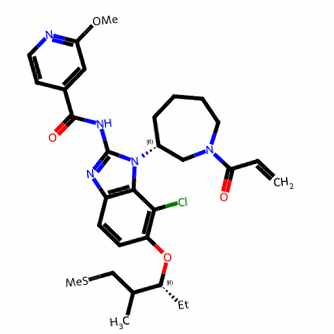 C=CC(=O)N1CCCC[C@@H](n2c(NC(=O)c3ccnc(OC)c3)nc3ccc(O[C@H](CC)C(C)CSC)c(Cl)c32)C1